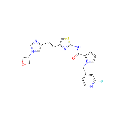 O=C(Nc1nc(C=Cc2cn(C3COC3)cn2)cs1)c1cccn1Cc1ccnc(F)c1